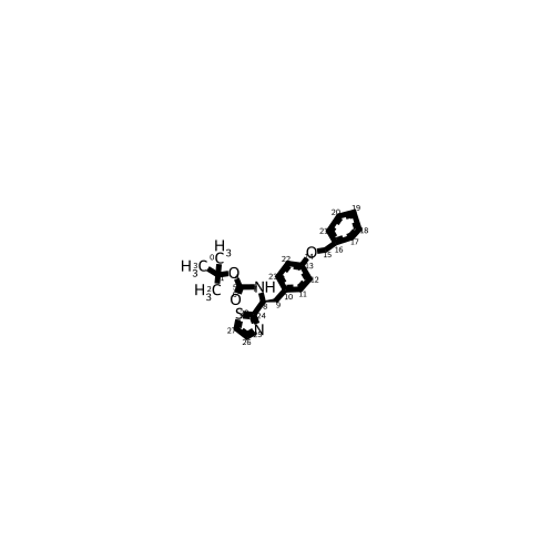 CC(C)(C)OC(=O)N[C@@H](Cc1ccc(OCc2ccccc2)cc1)c1nccs1